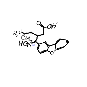 CC(C)CC(CC(=O)O)/C(=N\O)c1ccc2oc3ccccc3c2c1